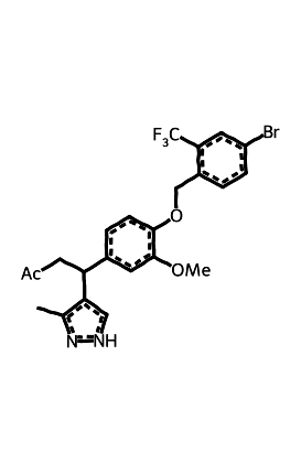 COc1cc(C(CC(C)=O)c2c[nH]nc2C)ccc1OCc1ccc(Br)cc1C(F)(F)F